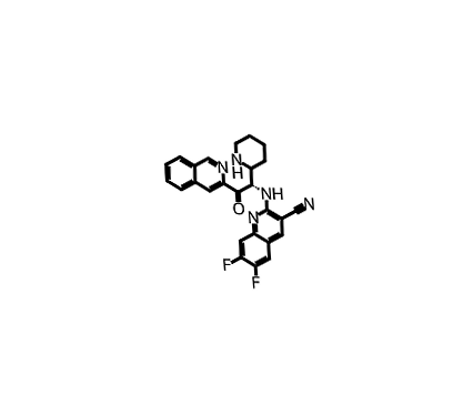 N#Cc1cc2cc(F)c(F)cc2nc1N[C@H](C(=O)c1cc2ccccc2cn1)C1CCCCN1